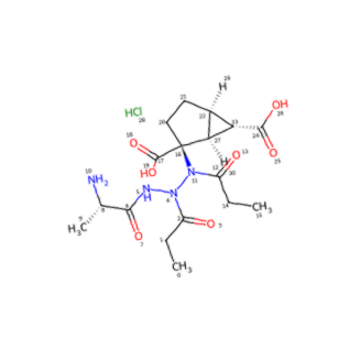 CCC(=O)N(NC(=O)[C@H](C)N)N(C(=O)CC)[C@@]1(C(=O)O)CC[C@H]2[C@H](C(=O)O)[C@H]21.Cl